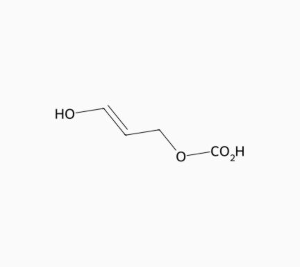 O=C(O)OCC=CO